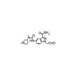 CN1CCC(N(C)C(=O)Nc2ccc3c(c2)c(C(N)=O)nn3CC=O)C1